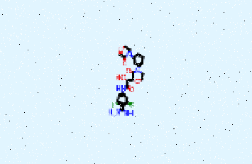 N=C(N)c1c(F)cc(NC(=O)[C@H](O)[C@H]2OCCN(c3cccc(N4CCOCC4=O)c3)C2=O)cc1F